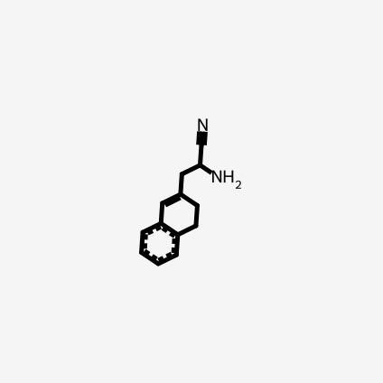 N#CC(N)CC1=Cc2ccccc2CC1